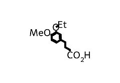 CCOc1cc(CCCC(=O)O)ccc1OC